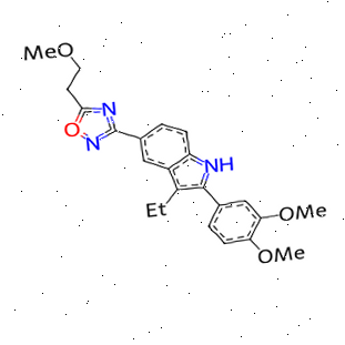 CCc1c(-c2ccc(OC)c(OC)c2)[nH]c2ccc(-c3noc(CCOC)n3)cc12